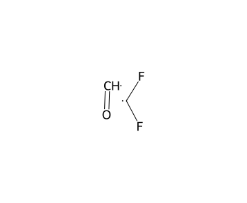 F[CH]F.[CH]=O